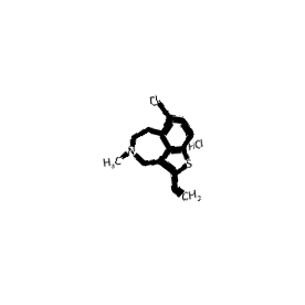 C=Cc1sc2ccc(Cl)c3c2c1CN(C)CC3.Cl